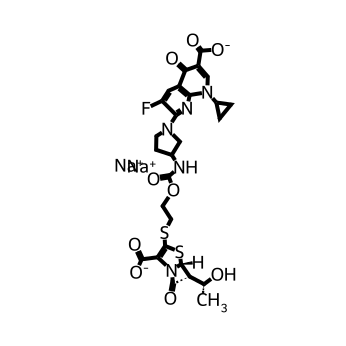 C[C@@H](O)[C@@H]1C(=O)N2C(C(=O)[O-])=C(SCCOC(=O)NC3CCN(c4nc5c(cc4F)c(=O)c(C(=O)[O-])cn5C4CC4)C3)S[C@H]12.[Na+].[Na+]